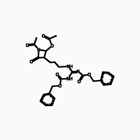 CC(=O)OC1C(CCCNC(=NC(=O)OCc2ccccc2)NC(=O)OCc2ccccc2)C(=O)N1C(C)=O